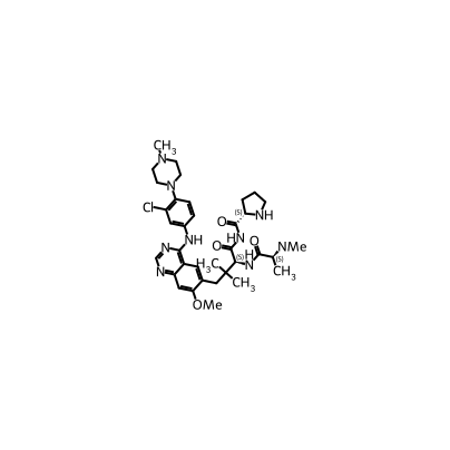 CN[C@@H](C)C(=O)N[C@H](C(=O)NC(=O)[C@@H]1CCCN1)C(C)(C)Cc1cc2c(Nc3ccc(N4CCN(C)CC4)c(Cl)c3)ncnc2cc1OC